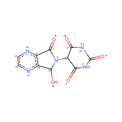 O=C1NC(=O)C(N2C(=O)c3nccnc3C2O)C(=O)N1